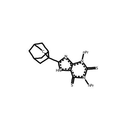 CCCn1c(=S)c2[nH]c(C34CC5CC(CC3C5)C4)nc2n(CCC)c1=S